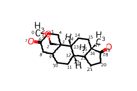 COC[C@]12CCC(=O)CC1CC[C@@H]1[C@H]2CC[C@]2(C)C(=O)CC[C@@H]12